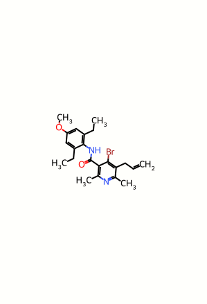 C=CCc1c(C)nc(C)c(C(=O)Nc2c(CC)cc(OC)cc2CC)c1Br